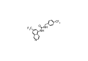 O=C(NCc1ccc(C(F)(F)F)cc1)Nc1cc(C(F)(F)F)cc2cnccc12